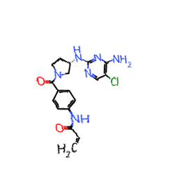 C=CC(=O)Nc1ccc(C(=O)N2CC[C@H](Nc3ncc(Cl)c(N)n3)C2)cc1